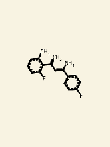 C=C(/C=C(\N)c1ccc(F)cc1)c1c(C)cccc1F